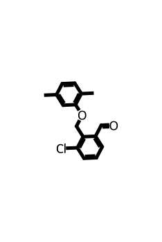 Cc1ccc(C)c(OCc2c(Cl)cccc2C=O)c1